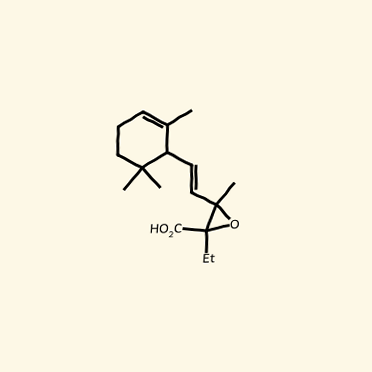 CCC1(C(=O)O)OC1(C)C=CC1C(C)=CCCC1(C)C